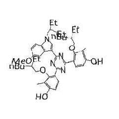 CCCCC(CC)COc1c(-c2nc(-c3ccc(O)c(C)c3OCC(CC)CCCC)nc(-c3cn(CC(CC)CC)c4ccc(OC)cc34)n2)ccc(O)c1C